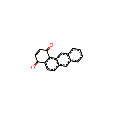 O=C1C=CC(=O)c2c1ccc1cc3ccccc3cc21